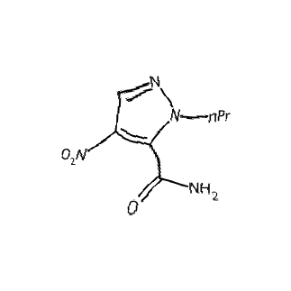 CCCn1ncc([N+](=O)[O-])c1C(N)=O